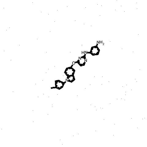 Cc1ccc(-n2ccc3cc(Oc4ccnc(Nc5cccc(N)c5)n4)ccc32)cc1